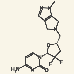 Cn1ncc2c1CN(C[C@@H]1CC(F)(F)[C@H](n3ccc(N)nc3=O)O1)C2